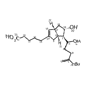 C=C(CCCC)CCC(O)[C@H]1[C@@H]2CC(CCCCC(=O)O)=C[C@@H]2C[C@@H]1O